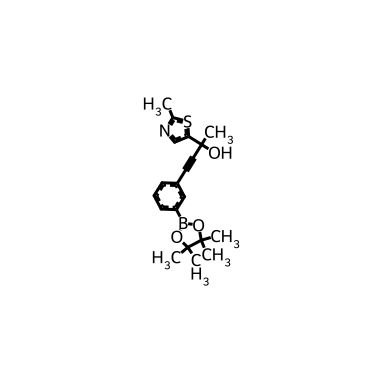 Cc1ncc(C(C)(O)C#Cc2cccc(B3OC(C)(C)C(C)(C)O3)c2)s1